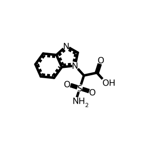 NS(=O)(=O)C(C(=O)O)n1cnc2ccccc21